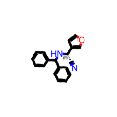 N#C[C@H](NC(c1ccccc1)c1ccccc1)c1ccoc1